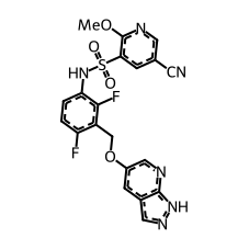 COc1ncc(C#N)cc1S(=O)(=O)Nc1ccc(F)c(COc2cnc3[nH]ncc3c2)c1F